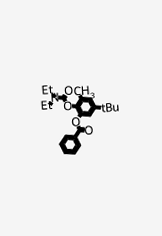 CCN(CC)C(=O)Oc1c(C)cc(C(C)(C)C)cc1OC(=O)c1ccccc1